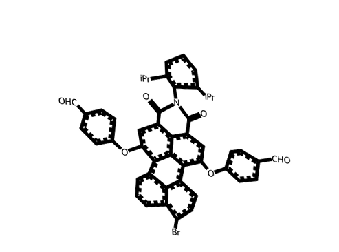 CC(C)c1cccc(C(C)C)c1N1C(=O)c2cc(Oc3ccc(C=O)cc3)c3c4cccc5c(Br)ccc(c6c(Oc7ccc(C=O)cc7)cc(c2c36)C1=O)c54